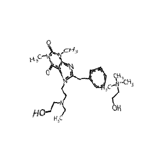 CCN(CCO)CCn1c(Cc2ccccc2)nc2c1c(=O)n(C)c(=O)n2C.C[N+](C)(C)CCO